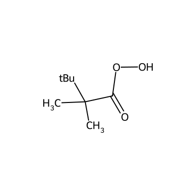 CC(C)(C)C(C)(C)C(=O)OO